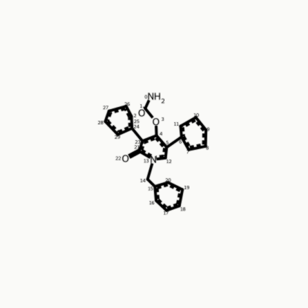 NC(=O)Oc1c(-c2ccccc2)cn(Cc2ccccc2)c(=O)c1-c1ccccc1